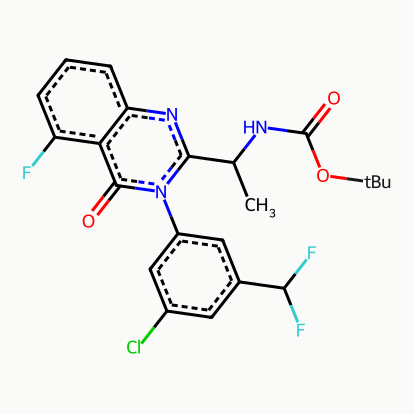 CC(NC(=O)OC(C)(C)C)c1nc2cccc(F)c2c(=O)n1-c1cc(Cl)cc(C(F)F)c1